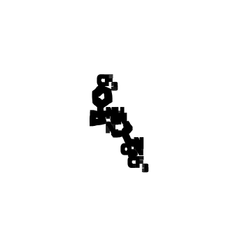 FC(F)(F)c1ccc(C2(Nc3ncc(-c4nnc(C(F)(F)F)o4)cn3)CCC2)cc1